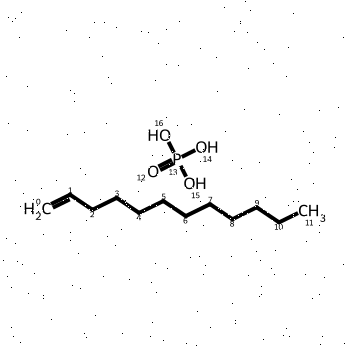 C=CCCCCCCCCCC.O=P(O)(O)O